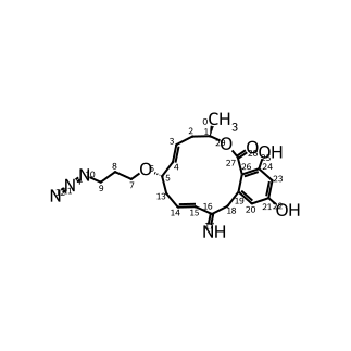 C[C@@H]1C/C=C/[C@@H](OCCCN=[N+]=[N-])C/C=C/C(=N)Cc2cc(O)cc(O)c2C(=O)O1